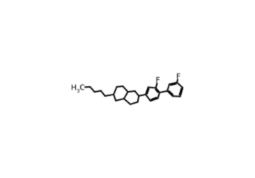 CCCCCC1CCC2CC(c3ccc(-c4cccc(F)c4)c(F)c3)CCC2C1